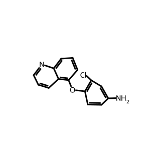 Nc1ccc(Oc2cccc3ncccc23)c(Cl)c1